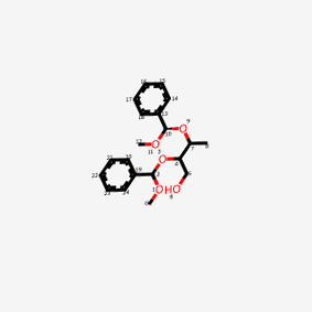 COC(OC(CO)C(C)O[C@@H](OC)c1ccccc1)c1ccccc1